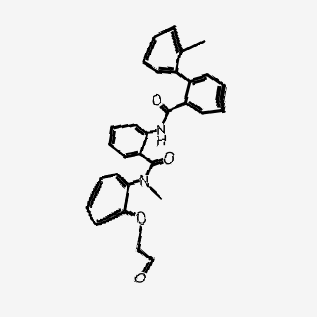 Cc1ccccc1-c1ccccc1C(=O)Nc1ccccc1C(=O)N(C)c1ccccc1OCC=O